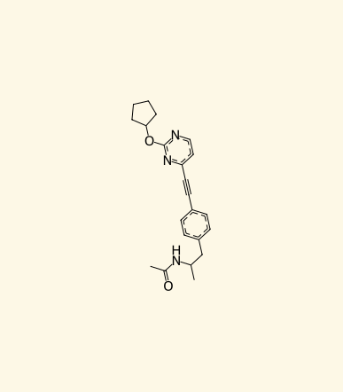 CC(=O)NC(C)Cc1ccc(C#Cc2ccnc(OC3CCCC3)n2)cc1